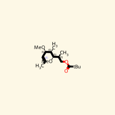 C/C=C/[C@H](OC)[C@H](C)[C@@H](OC)[C@@H](C)COC(=O)C(C)(C)C